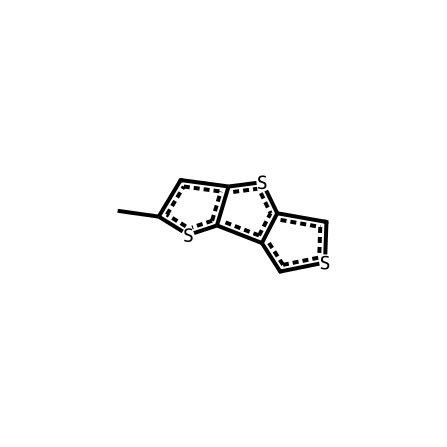 Cc1cc2sc3cscc3c2s1